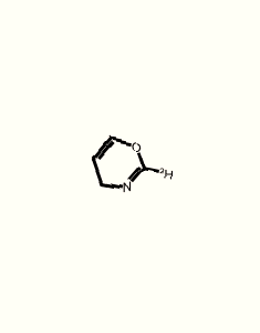 [2H]C1=NCC=CO1